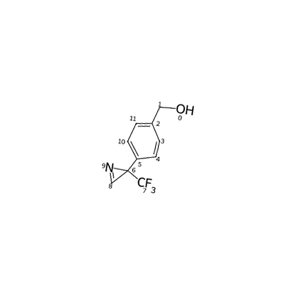 OCc1ccc(C2(C(F)(F)F)C=N2)cc1